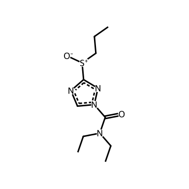 CCC[S+]([O-])c1ncn(C(=O)N(CC)CC)n1